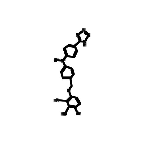 CCCc1c(OCc2ccc([S+]([O-])c3ccc(-c4nnn[nH]4)cc3)cc2)ccc(C(C)=O)c1O